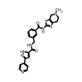 CN1CCc2nc(NC(=O)c3cccc(CNC(=O)c4cc(-c5ccncc5)n[nH]4)c3)sc2C1